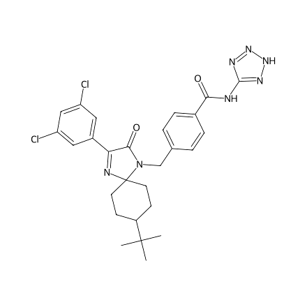 CC(C)(C)C1CCC2(CC1)N=C(c1cc(Cl)cc(Cl)c1)C(=O)N2Cc1ccc(C(=O)Nc2nn[nH]n2)cc1